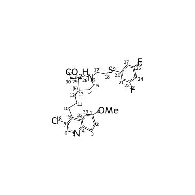 COc1ccc2ncc(Cl)c(CCC[C@@H]3CCN(CCSc4cc(F)cc(F)c4)C[C@@H]3CC(=O)O)c2c1